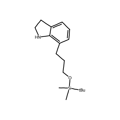 CC(C)(C)[Si](C)(C)OCCCc1cccc2c1NCC2